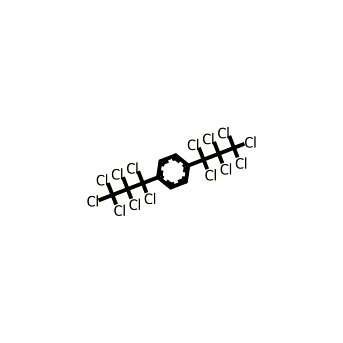 ClC(Cl)(Cl)C(Cl)(Cl)C(Cl)(Cl)c1ccc(C(Cl)(Cl)C(Cl)(Cl)C(Cl)(Cl)Cl)cc1